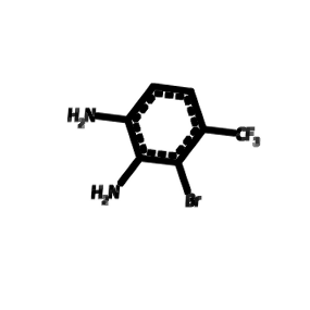 Nc1ccc(C(F)(F)F)c(Br)c1N